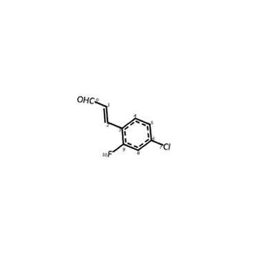 O=CC=Cc1ccc(Cl)cc1F